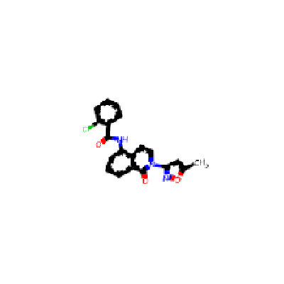 Cc1cc(-n2ccc3c(NC(=O)c4ccccc4Cl)cccc3c2=O)no1